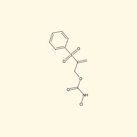 C=C(COC(=O)NCl)S(=O)(=O)c1ccccc1